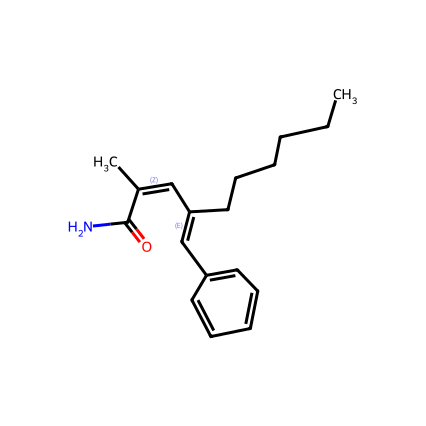 CCCCCCC(/C=C(/C)C(N)=O)=C\c1ccccc1